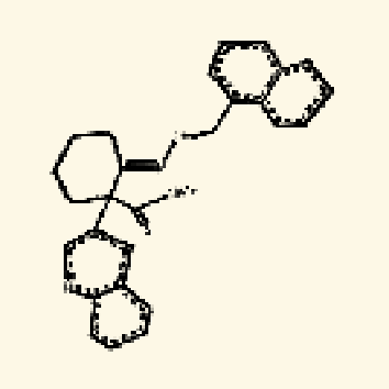 CNC(=S)C1(c2cnc3ccccc3c2)CCCCC1=NOCc1cccc2ccccc12